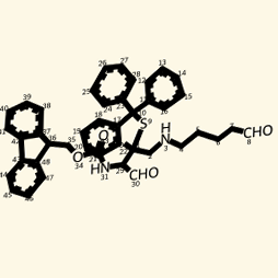 CC(CNCCCCC=O)(SC(c1ccccc1)(c1ccccc1)c1ccccc1)C(C=O)NC(=O)OCC1c2ccccc2-c2ccccc21